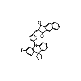 CCC1(CC)c2ccccc2N(c2ccc(C=C3C(=O)c4cc5ccccc5cc4C3=O)s2)c2cc(F)ccc21